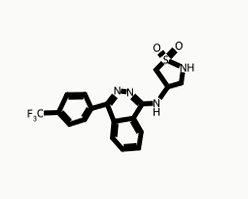 O=S1(=O)CC(Nc2nnc(-c3ccc(C(F)(F)F)cc3)c3ccccc23)CN1